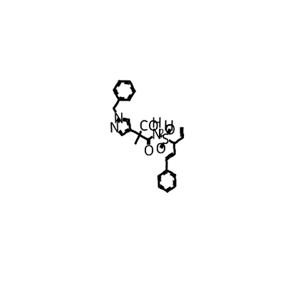 C=CC(C=Cc1ccccc1)S(=O)(=O)NC(=O)C(C)(C(=O)O)c1cnn(Cc2ccccc2)c1